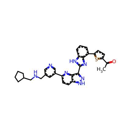 CC(=O)c1ccc(-c2cccc3[nH]c(-c4n[nH]c5ccc(-c6cncc(CNCC7CCCC7)c6)nc45)nc23)s1